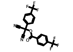 N#CC(C#N)(OC(=O)c1ccc(C(F)(F)F)cc1)c1ccc(C(F)(F)F)cc1